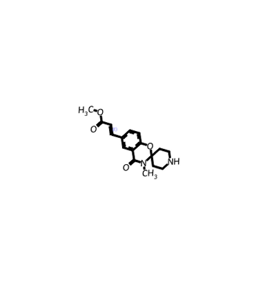 COC(=O)/C=C/c1ccc2c(c1)C(=O)N(C)C1(CCNCC1)O2